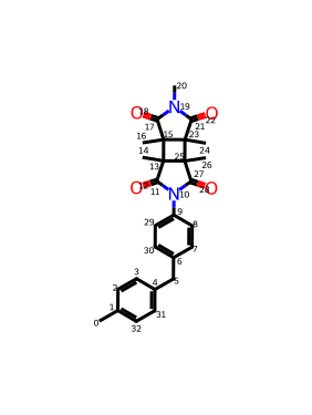 Cc1ccc(Cc2ccc(N3C(=O)C4(C)C5(C)C(=O)N(C)C(=O)C5(C)C4(C)C3=O)cc2)cc1